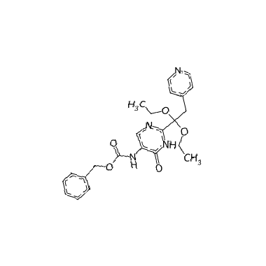 CCOC(Cc1ccncc1)(OCC)c1ncc(NC(=O)OCc2ccccc2)c(=O)[nH]1